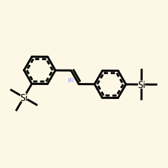 C[Si](C)(C)c1ccc(/C=C/c2cccc([Si](C)(C)C)c2)cc1